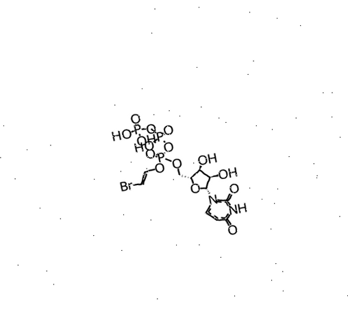 O=c1ccn([C@@H]2O[C@H](COP(=O)(O/C=C/Br)OP(=O)(O)OP(=O)(O)O)[C@@H](O)[C@H]2O)c(=O)[nH]1